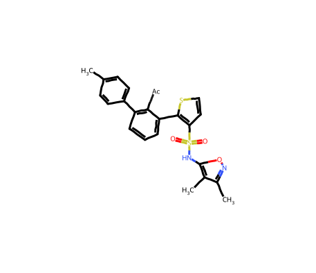 CC(=O)c1c(-c2ccc(C)cc2)cccc1-c1sccc1S(=O)(=O)Nc1onc(C)c1C